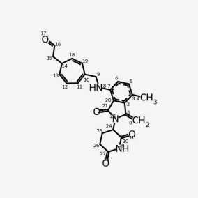 C=C1c2c(C)ccc(NCC3=CC=CC(CC=O)C=C3)c2C(=O)N1C1CCC(=O)NC1=O